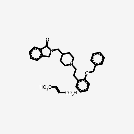 O=C(O)C=CC(=O)O.O=C1c2ccccc2CN1CC1CCN(CCc2ccccc2OCc2ccccc2)CC1